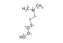 CN(C)CCSOOO